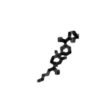 CCCCCC(=O)N1CCC(C)(c2cccc(C(=O)c3ccno3)c2)C(C)C1